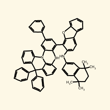 CC1(C)CCC(C)(C)c2cc(Nc3ccc4c(oc5ccccc54)c3-c3cc(-c4ccccc4)cc4c3Bc3cccc5c3N4c3ccccc3C5(c3ccccc3)c3ccccc3)ccc21